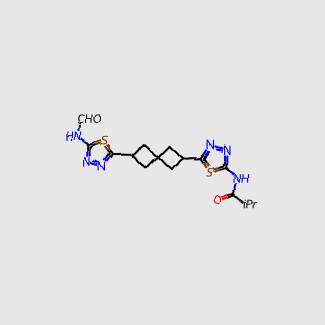 CC(C)C(=O)Nc1nnc(C2CC3(CC(c4nnc(NC=O)s4)C3)C2)s1